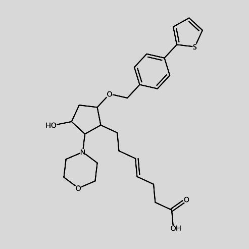 O=C(O)CCC=CCCC1C(OCc2ccc(-c3cccs3)cc2)CC(O)C1N1CCOCC1